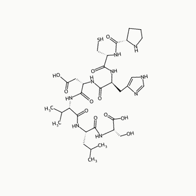 CC(C)C[C@H](NC(=O)[C@@H](NC(=O)[C@H](CC(=O)O)NC(=O)[C@H](Cc1c[nH]cn1)NC(=O)[C@H](CS)NC(=O)[C@@H]1CCCN1)C(C)C)C(=O)N[C@@H](CO)C(=O)O